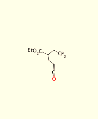 CCOC(=O)C(CC=C=O)CC(F)(F)F